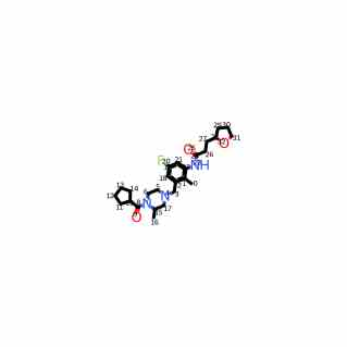 Cc1c(CN2CCN(C(=O)C3CCCC3)C(C)C2)cc(F)cc1NC(=O)CCC1CCCO1